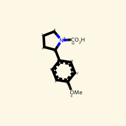 COc1ccc(C2CCCN2C(=O)O)cc1